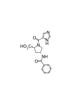 O=C(N[C@@H]1C[C@@H](C(=O)O)N(C(=O)c2cnc[nH]2)C1)c1ccccc1